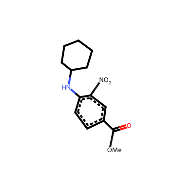 COC(=O)c1ccc(NC2CCCCC2)c([N+](=O)[O-])c1